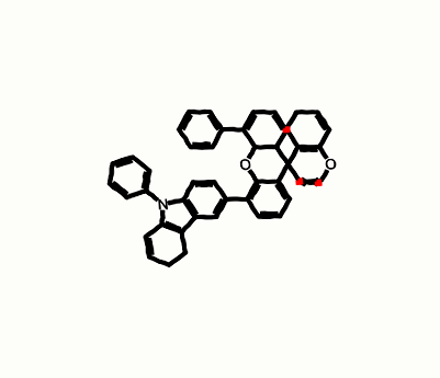 C1=CC2C(Oc3c(-c4ccc5c(c4)c4c(n5-c5ccccc5)C=CCC4)cccc3C23C2=CCCC=C2OC2=C3CCC=C2)C(c2ccccc2)=C1